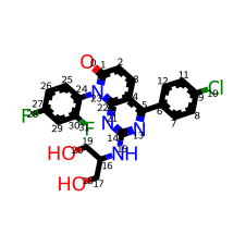 O=c1ccc2c(-c3ccc(Cl)cc3)nc(NC(CO)CO)nc2n1-c1ccc(F)cc1F